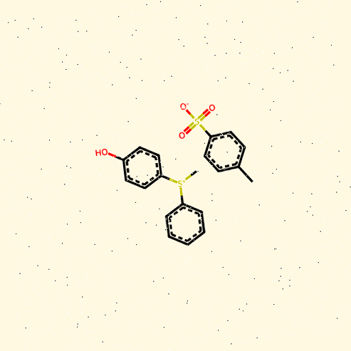 C[S+](c1ccccc1)c1ccc(O)cc1.Cc1ccc(S(=O)(=O)[O-])cc1